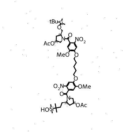 COc1cc(C(=O)N2C[C@H](OC(C)=O)C[C@H]2CCC(C)(C)[Si](C)(C)O)c([N+](=O)[O-])cc1OCCCCCOc1cc([N+](=O)[O-])c(C(=O)N2C[C@H](OC(C)=O)C[C@H]2CO[Si](C)(C)C(C)(C)C)cc1OC